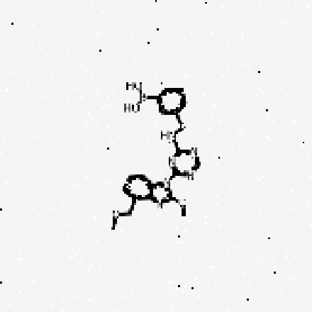 COCc1cccc2c1nc(OC)n2-c1ncnc(NCc2cccc(B(O)O)c2)n1